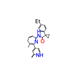 C=C1C=C(C2=C(C)CC=CC(NC(=O)C3(c4ccc(CC)cc4)CC3)=N2)C=CN1